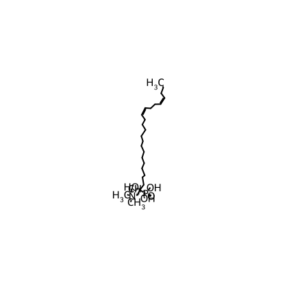 CCC/C=C\CC/C=C\CCCCCCCCCCCCCC(O)(C[N+](C)(C)C)P(=O)(O)O